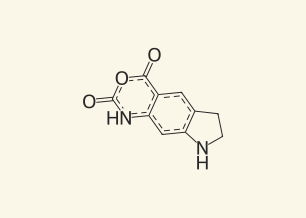 O=c1[nH]c2cc3c(cc2c(=O)o1)CCN3